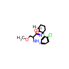 COCC(N)C1=N[C@]2(c3ccccc3Cl)CCC[C@H](O1)C2=O